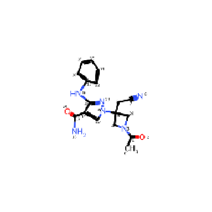 CC(=O)N1CC(CC#N)(n2cc(C(N)=O)c(Nc3ccccc3)n2)C1